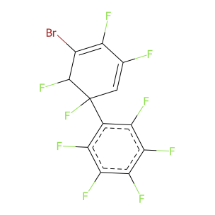 FC1=CC(F)(c2c(F)c(F)c(F)c(F)c2F)C(F)C(Br)=C1F